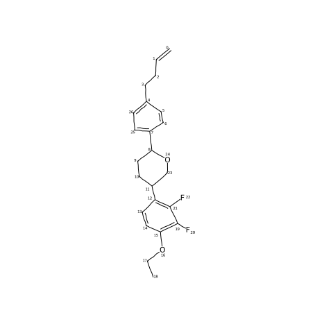 C=CCCc1ccc(C2CCC(c3ccc(OCC)c(F)c3F)CO2)cc1